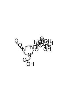 O=COCN1CCN(CC(=O)O)CCN(CP(=O)(O)CC(P(=O)(O)O)P(=O)(O)O)CC1